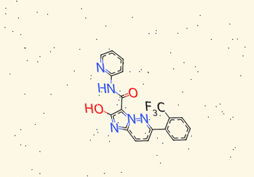 O=C(Nc1ccccn1)c1c(O)nc2ccc(-c3ccccc3C(F)(F)F)nn12